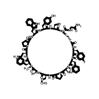 CCCC[C@H]1C(=O)N2CCC[C@@H]2C(=O)N[C@@H](COC=O)C(=O)N[C@@H](C(C)C)C(=O)N(C)[C@@H](Cc2ccccc2)C(=O)N[C@@H](CCN)C(=O)N2CCC[C@@H]2C(=O)N[C@@H](Cc2c[nH]c3ccccc23)C(=O)N[C@@H](Cc2ccc(O)cc2)C(=O)N[C@@H](CC(C)C)C(=O)N[C@H](C(=O)NCC(N)=O)CSCC(=O)N[C@@H](Cc2ccc(F)cc2)C(=O)N(C)[C@@H](Cc2ccccc2)C(=O)N1C